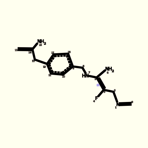 C=NC/C(F)=C(\N)NCc1ccc(CC(=C)N)cc1